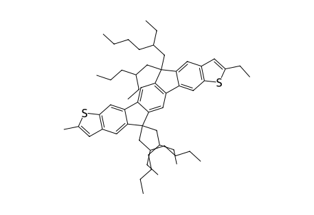 CCCCC(CC)CC1(CC(CC)CCC)c2cc3c(cc2-c2cc4sc(CC)cc4cc21)C(CC(CC)CCCC)(CC(CC)CCCC)c1cc2cc(C)sc2cc1-3